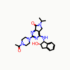 CC(=O)N1CCN(c2nc(N[C@H]3c4ccccc4C[C@H]3O)c3c(n2)C(=O)N(C(C)C)C3)CC1